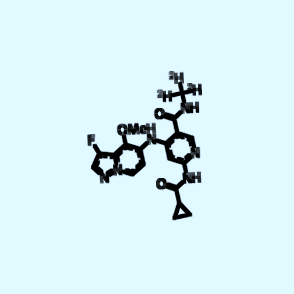 [2H]C([2H])([2H])NC(=O)c1cnc(NC(=O)C2CC2)cc1Nc1ccn2ncc(F)c2c1OC